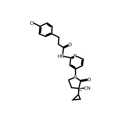 N#C[C@@]1(C2CC2)CCN(c2ccnc(NC(=O)CCc3ccc(Cl)cc3)c2)C1=O